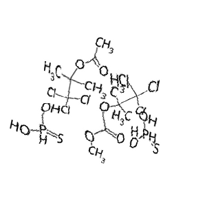 CC(=O)OC(C)(C)C(Cl)(Cl)Cl.COC(=O)OC(C)(C)C(Cl)(Cl)Cl.O[PH](O)=S.O[PH](O)=S